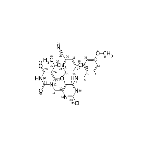 COc1ccc(CNc2cc(Cn3c(Oc4cc(C)cc(C#N)c4)c(C(C)C)c(=O)[nH]c3=O)nc(Cl)n2)cc1